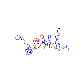 Nc1nc(C(=NOC2CCCC2)C(=O)NC2C(=O)N3C(C(=O)O)=C(CSc4nnnn4CCCN4CCCCC4)CS[C@@H]23)ns1